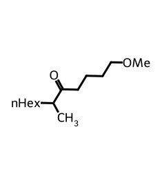 CCCCCCC(C)C(=O)CCCCOC